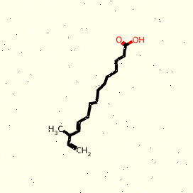 C=CC(C)C=CCCCCCCCCCC(=O)O